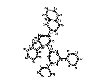 c1ccc(-c2nc(-c3ccccc3)nc(-c3cc(-c4ccc5ccccc5c4)nc4oc5ccccc5c34)n2)cc1